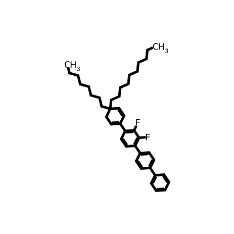 CCCCCCCCCCC1(CCCCCCCC)C=CC(c2ccc(-c3ccc(-c4ccccc4)cc3)c(F)c2F)=CC1